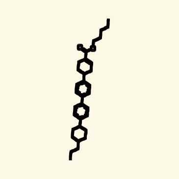 CCCCCOC(=O)C1=CCC(c2ccc(-c3ccc(C4CCC(CCC)CC4)cc3)cc2)CC1